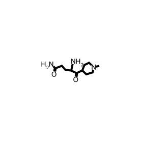 CN1CCC(C(=O)C(N)CCC(N)=O)CC1